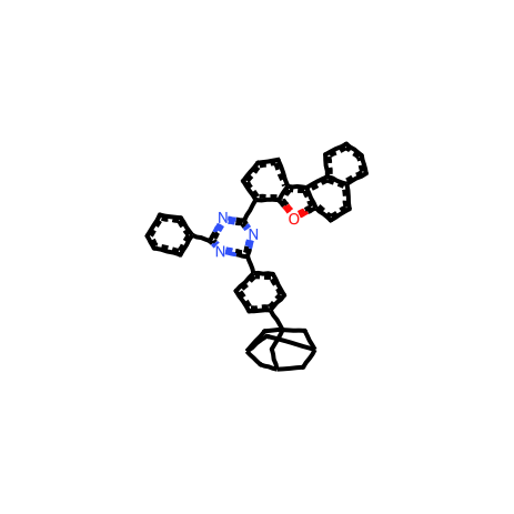 c1ccc(-c2nc(-c3ccc(C45CC6CC(CC(C6)C4)C5)cc3)nc(-c3cccc4c3oc3ccc5ccccc5c34)n2)cc1